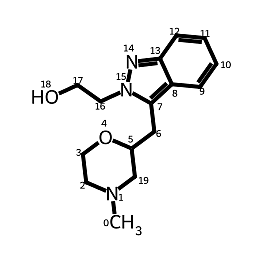 CN1CCOC(Cc2c3ccccc3nn2CCO)C1